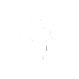 C=CC(=O)NC(CCCCCCCCCCCCC)S(=O)(=O)O.C=CC(=O)O